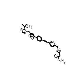 CC(O)c1nccn1Cc1cc(-c2ccc(C#Cc3ccc(CN4CC(CC(N)=O)C4)nc3)cc2)on1